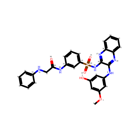 COc1cc(O)cc(Nc2nc3ccccc3nc2NS(=O)(=O)c2cccc(NC(=O)CNc3ccccc3)c2)c1